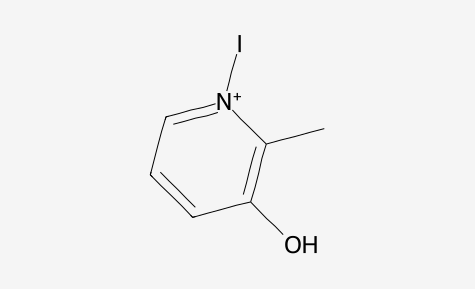 Cc1c(O)ccc[n+]1I